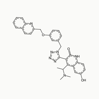 CC(c1c(-c2nnnn2Cc2cccc(OCc3ccc4ccccc4n3)c2)c(=O)[nH]c2ccc(O)cc12)N(C)C